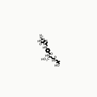 CC(C)(CO)CNC(=O)CC[C@H](NC(=O)c1ccc(NCc2cnc3nc(N)[nH]c(=O)c3n2)cc1)C(=O)O